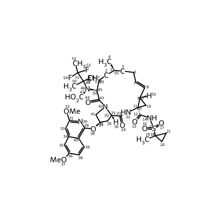 CC[C@@H]1C[C@@H](C)CCC=C[C@@H]2C[C@@]2(C(=O)NS(=O)(=O)C2(C)CC2)NC(=O)[C@@H]2C[C@@H](Oc3nc(OC)cc4cc(OC)ccc34)CN2C(=O)[C@H]1N(C(=O)O)C(C)(C)C(C)(F)F